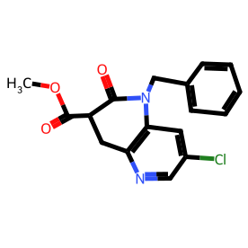 COC(=O)C1Cc2ncc(Cl)cc2N(Cc2ccccc2)C1=O